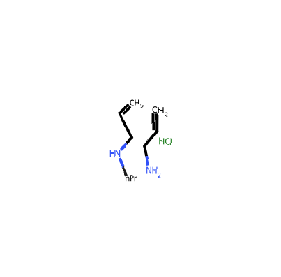 C=CCN.C=CCNCCC.Cl